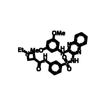 CCN1CC(C(=O)Nc2cccc(S(=O)(=O)Nc3nc4ccccc4nc3Nc3cc(OC)cc(OC)c3)c2)C1